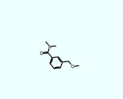 COCc1cccc(C(=O)N(C)C)c1